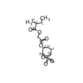 CCC(C)C(=O)OCC(=O)OC1CCC2CC1OS2(=O)=O